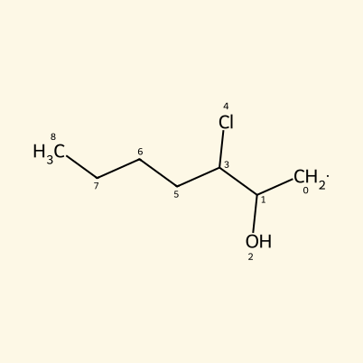 [CH2]C(O)C(Cl)CCCC